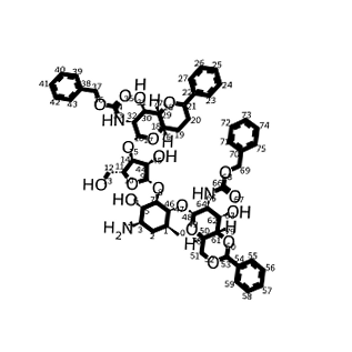 C[C@H]1C[C@@H](N)[C@H](O)[C@@H](O[C@@H]2O[C@H](CO)[C@@H](O[C@H]3O[C@H]4CCC(c5ccccc5)O[C@H]4[C@H](O)[C@H]3NC(=O)OCc3ccccc3)[C@H]2O)[C@@H]1O[C@H]1O[C@@H]2COC(c3ccccc3)O[C@H]2[C@@H](O)[C@H]1NC(=O)OCc1ccccc1